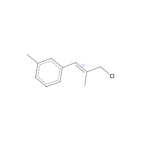 C/C(=C\c1cccc(C)c1)CCl